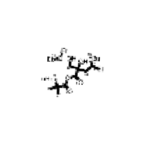 CCCCCCC(C)(C)C(=O)OC(=O)C(O)(CO)CC(CC)CCCC.CCOCC